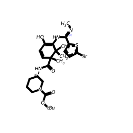 C/N=C(\NC1=C(O)C=CC(C)(C(=O)N[C@H]2CCCN(C(=O)OC(C)(C)C)C2)C1(C)C)c1ccc(Br)s1